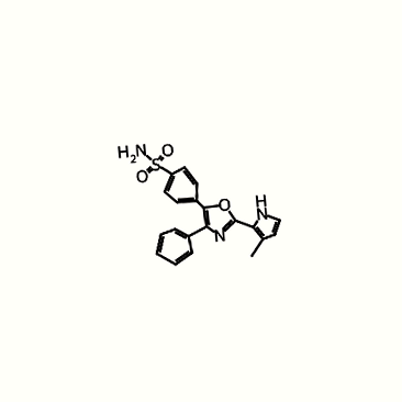 Cc1cc[nH]c1-c1nc(-c2ccccc2)c(-c2ccc(S(N)(=O)=O)cc2)o1